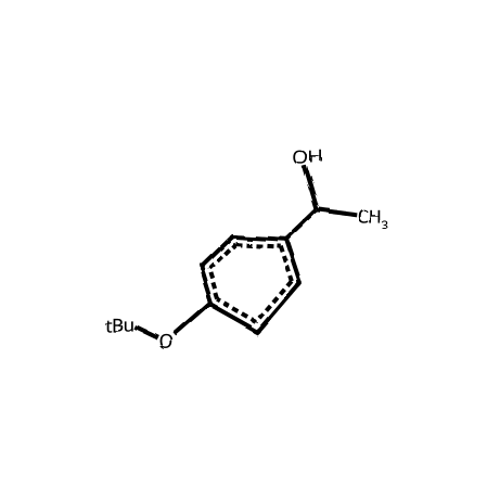 CC(O)c1ccc(OC(C)(C)C)cc1